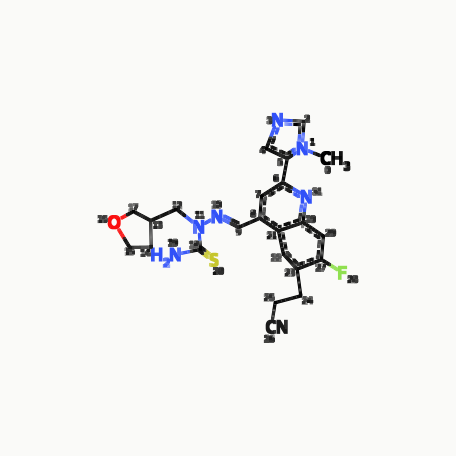 Cn1cncc1-c1cc(/C=N/N(CC2CCOC2)C(N)=S)c2cc(CCC#N)c(F)cc2n1